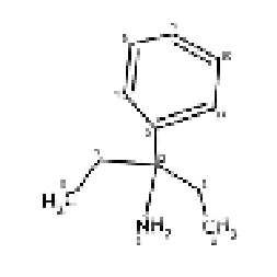 CCC(N)(CC)c1[c]cccc1